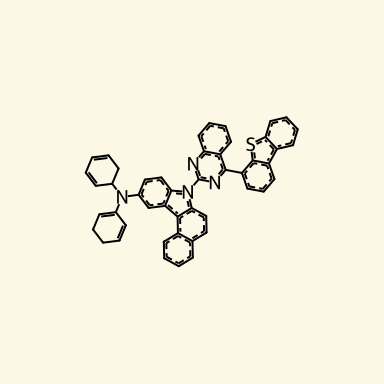 C1=CCC(N(C2=CCCC=C2)c2ccc3c(c2)c2c4ccccc4ccc2n3-c2nc(-c3cccc4c3sc3ccccc34)c3ccccc3n2)C=C1